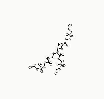 O=C(CCS(=O)(=O)CCCl)NCCN(CCNC(=O)CCS(=O)(=O)CCCl)C(=O)CCS(=O)(=O)CCCl